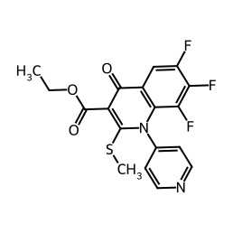 CCOC(=O)c1c(SC)n(-c2ccncc2)c2c(F)c(F)c(F)cc2c1=O